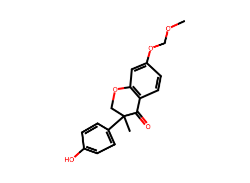 COCOc1ccc2c(c1)OCC(C)(c1ccc(O)cc1)C2=O